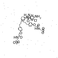 CS(=O)(=O)CCNC(=O)COc1ccc(CCC[N+]2(CCCc3ccc(OCC(=O)NCCS(C)(=O)=O)cc3)CCC[C@H](NC(=O)c3nc(Cl)c(N)nc3N)C2)cc1